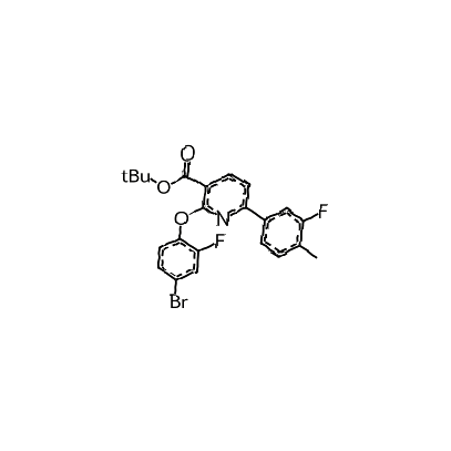 Cc1ccc(-c2ccc(C(=O)OC(C)(C)C)c(Oc3ccc(Br)cc3F)n2)cc1F